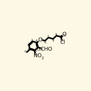 Cc1ccc(OCCCCC(=O)Cl)c(C=O)c1[N+](=O)[O-]